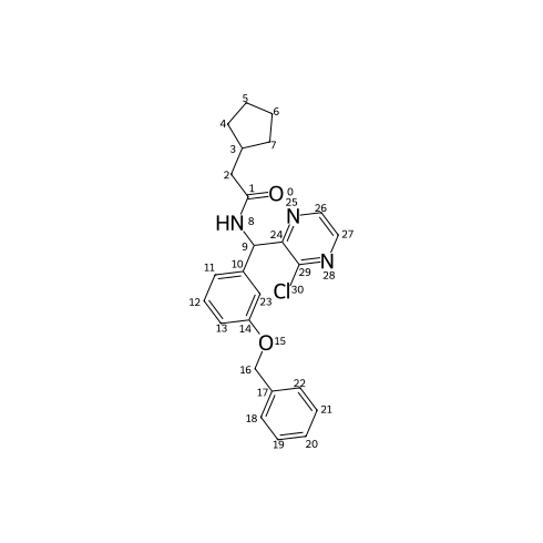 O=C(CC1CCCC1)NC(c1cccc(OCc2ccccc2)c1)c1nccnc1Cl